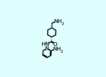 NC[C@H]1CC[C@H](C(=O)NN2CC=CC=C2N)CC1